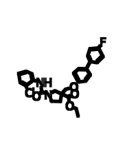 CCOC(=O)C1(COc2ccc(-c3ccc(F)cc3)cc2)CCN(C(=O)Nc2ccccc2Cl)C1